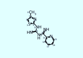 Cc1csc(NC(=N)NC(=N)c2ccccn2)n1